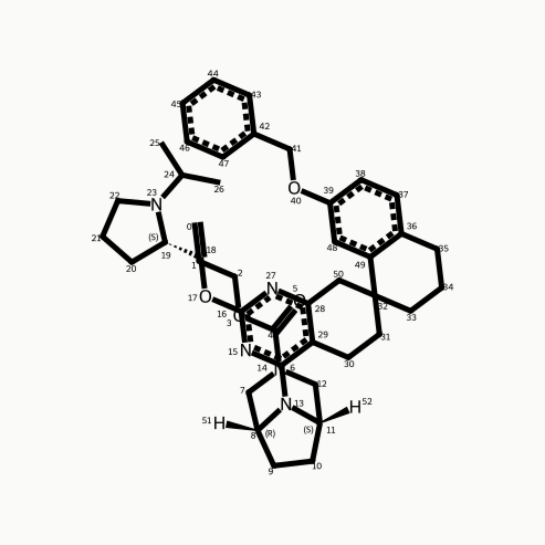 C=CCOC(=O)N1C[C@H]2CC[C@@H](C1)N2c1nc(OC[C@@H]2CCCN2C(C)C)nc2c1CCC1(CCCc3ccc(OCc4ccccc4)cc31)C2